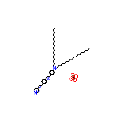 CCCCCCCCCCCCCCCCCCN(CCCCCCCCCCCCCCCCCC)c1ccc(/C=C/c2ccc(/C=C/c3cc[n+](C)cc3)cc2)cc1.COS(=O)(=O)[O-]